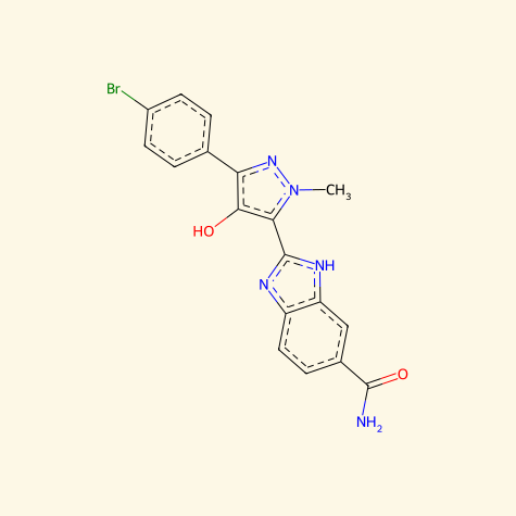 Cn1nc(-c2ccc(Br)cc2)c(O)c1-c1nc2ccc(C(N)=O)cc2[nH]1